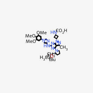 COc1cc(-n2cnc(Nc3nc(N4CCC[C@H]4CO[Si](C)(C)C(C)(C)C)c4c(C)nn([C@H]5C[C@H](NC(=O)O)C5)c4n3)c2)cc(OC)c1OC